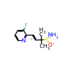 CC(C)(/C=C/c1ncccc1F)[S+](N)[O-]